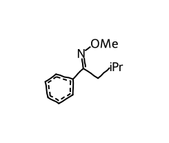 CON=C(CC(C)C)c1ccccc1